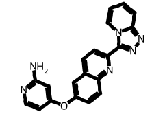 Nc1cc(Oc2ccc3nc(-c4nnc5ccccn45)ccc3c2)ccn1